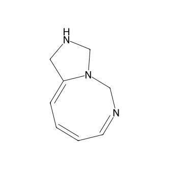 C1=CC=C2CNCN2CN=C1